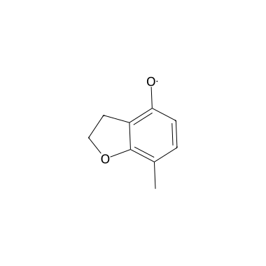 Cc1ccc([O])c2c1OCC2